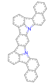 c1ccc2c(c1)ccc1c2c2cccc3c4cc5c6cccc7c8c9ccccc9ccc8n(c5cc4n1c32)c67